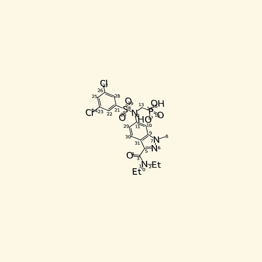 CCN(CC)C(=O)c1nn(C)c2cc(N(CP(=O)(O)O)S(=O)(=O)c3cc(Cl)cc(Cl)c3)ccc12